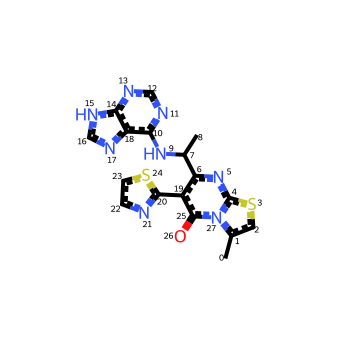 Cc1csc2nc(C(C)Nc3ncnc4[nH]cnc34)c(-c3nccs3)c(=O)n12